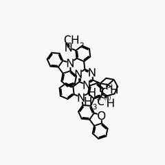 C=Nc1cccc(-c2nc(-c3ccccc3-n3c4ccccc4c4c5oc6ccccc6c5ccc43)nc(C34CC(CC[C@@H](C)C3)[C@@H]4C)n2)c1-n1c2ccccc2c2ccccc21